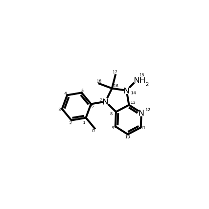 Cc1ccccc1N1c2cccnc2N(N)C1(C)C